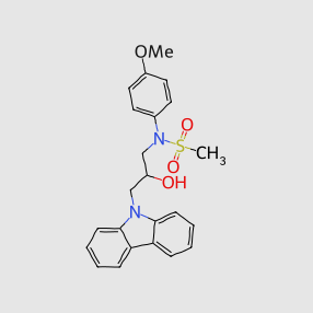 COc1ccc(N(CC(O)Cn2c3ccccc3c3ccccc32)S(C)(=O)=O)cc1